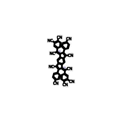 N#CC1=C(c2ccc(C#N)cc2)/C(=C(/C#N)c2ccc(C#N)c(C#N)c2)c2cc3c(cc21)/C(=C(\C#N)c1ccc(C#N)c(C#N)c1)C(c1ccc(C#N)cc1)=C3C#N